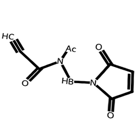 C#CC(=O)N(BN1C(=O)C=CC1=O)C(C)=O